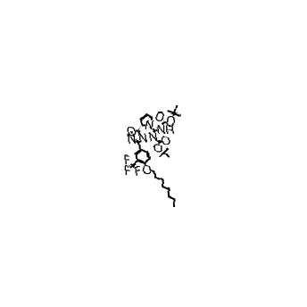 CCCCCCCCOc1ccc(-c2noc([C@@H]3C=CCN3/C(=N/C(=O)OC(C)(C)C)NC(=O)OC(C)(C)C)n2)cc1C(F)(F)F